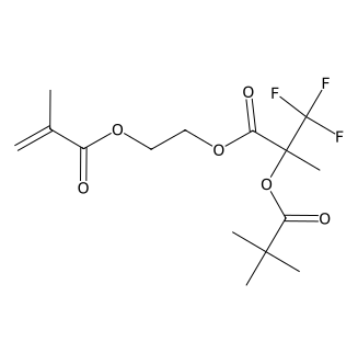 C=C(C)C(=O)OCCOC(=O)C(C)(OC(=O)C(C)(C)C)C(F)(F)F